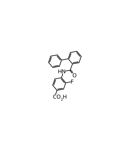 O=C(O)c1ccc(NC(=O)c2ccccc2-c2ccccc2)c(F)c1